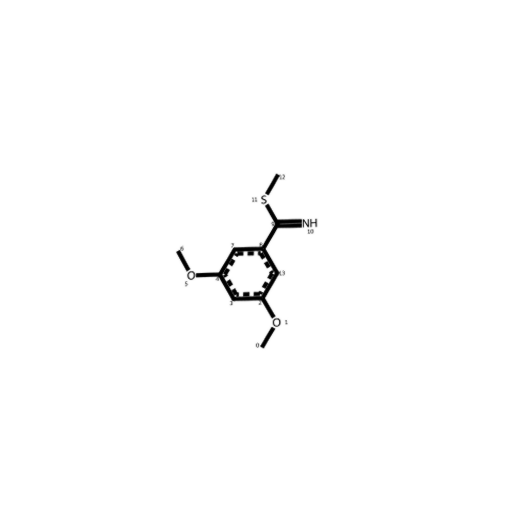 COc1cc(OC)cc(C(=N)SC)c1